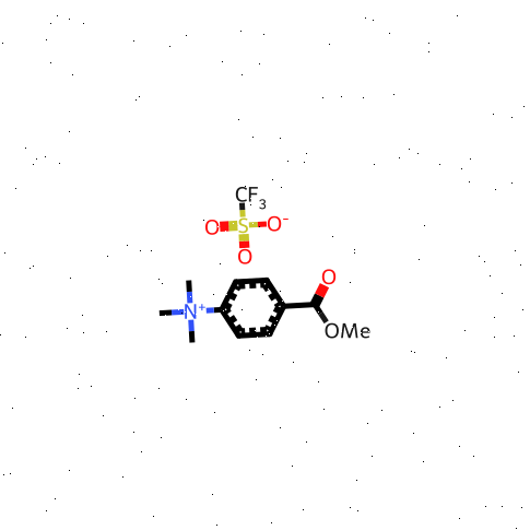 COC(=O)c1ccc([N+](C)(C)C)cc1.O=S(=O)([O-])C(F)(F)F